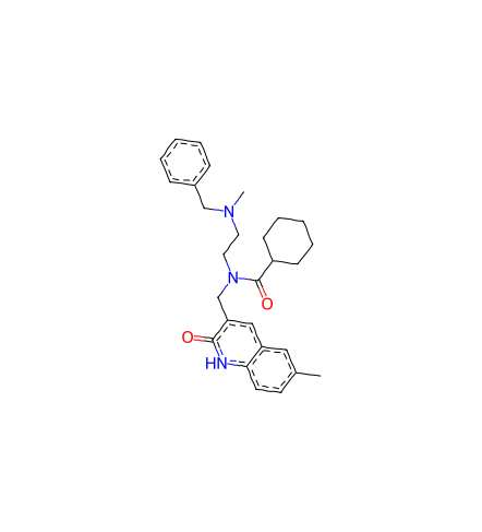 Cc1ccc2[nH]c(=O)c(CN(CCN(C)Cc3ccccc3)C(=O)C3CCCCC3)cc2c1